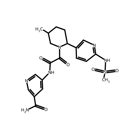 CC1CCC(c2ccc(NS(C)(=O)=O)nc2)N(C(=O)C(=O)Nc2cncc(C(N)=O)c2)C1